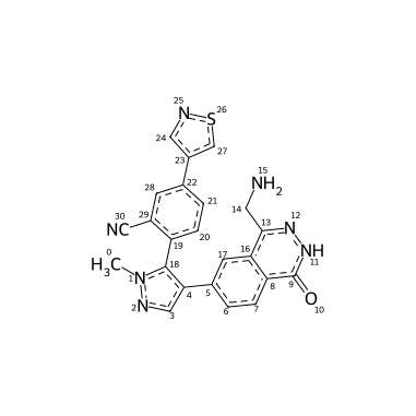 Cn1ncc(-c2ccc3c(=O)[nH]nc(CN)c3c2)c1-c1ccc(-c2cnsc2)cc1C#N